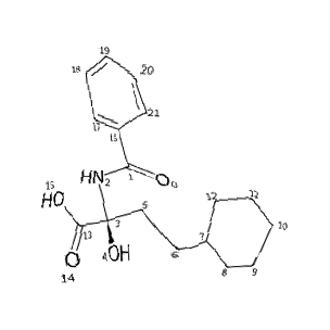 O=C(N[C@](O)(CCC1CCCCC1)C(=O)O)c1ccccc1